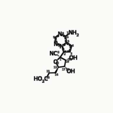 N#C[C@@]1(c2ccc3c(N)ncnn23)O[C@H](CCC(=O)O)[C@@H](O)[C@H]1O